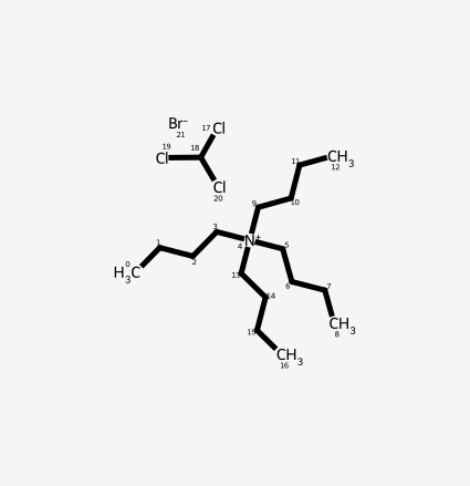 CCCC[N+](CCCC)(CCCC)CCCC.ClC(Cl)Cl.[Br-]